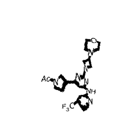 CC(=O)N1CCC(c2cc(Nc3cc(C(F)(F)F)ccn3)nc(N3CC(N4CCOCC4)C3)n2)C1